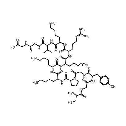 CC(C)C(NC(=O)C(CCCCN)NC(=O)C(CCCN=C(N)N)NC(=O)C(CCCCN)NC(=O)C(CCCCN)NC(=O)C(CCCCN)NC(=O)C1CCCN1C(=O)CNC(=O)C(Cc1ccc(O)cc1)NC(=O)CNC(=O)C(N)CS)C(=O)NCC(=O)NCC(=O)O